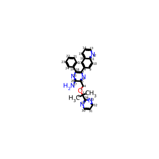 CC(C)(OCc1nc(-c2ccc3ncccc3c2)c(-c2ccccc2)nc1N)c1ncccn1